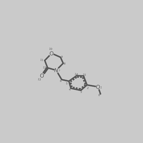 COc1ccc(CN2CCOCC2=O)cc1